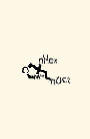 CCCCCCCCCCC1(CCCCCC)COCN1